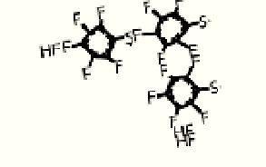 F.F.F.Fc1c(F)c(F)c([S])c(F)c1F.Fc1c(F)c(F)c([S])c(F)c1F.Fc1c(F)c(F)c([S])c(F)c1F